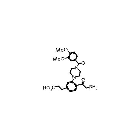 COc1ccc(C(=O)N2CCN(c3cc(CCC(=O)O)ccc3C(=O)CN)CC2)cc1OC